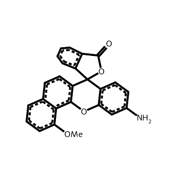 COc1cccc2ccc3c(c12)Oc1cc(N)ccc1C31OC(=O)c2ccccc21